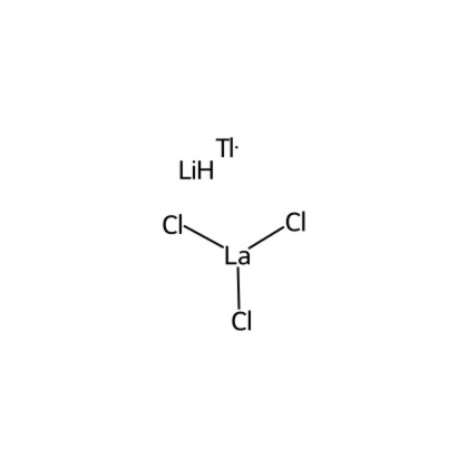 [Cl][La]([Cl])[Cl].[LiH].[Tl]